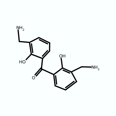 NCc1cccc(C(=O)c2cccc(CN)c2O)c1O